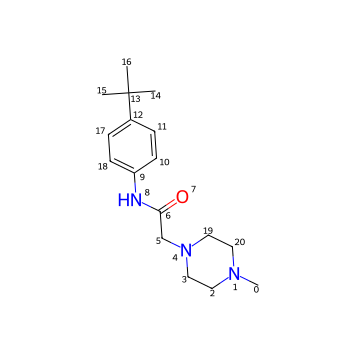 CN1CCN(CC(=O)Nc2ccc(C(C)(C)C)cc2)CC1